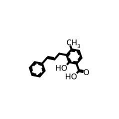 Cc1ccc(C(=O)O)c(O)c1CC=Cc1ccccc1